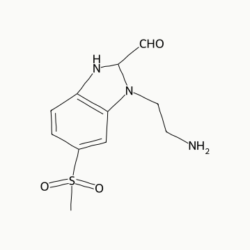 CS(=O)(=O)c1ccc2c(c1)N(CCN)C(C=O)N2